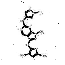 Cc1cc(C=O)sc1Nc1nn(C)c2nc(Nc3cnn(C)c3)ncc12